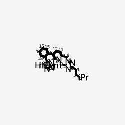 CCCCCc1nc(CCC(C)C)nn1Cc1ccc(-c2ccccc2-c2nnn[nH]2)cn1